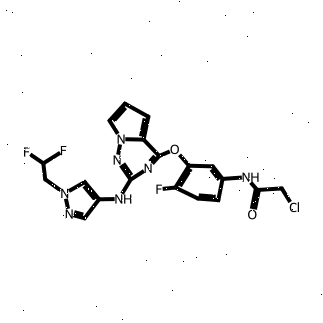 O=C(CCl)Nc1ccc(F)c(Oc2nc(Nc3cnn(CC(F)F)c3)nn3cccc23)c1